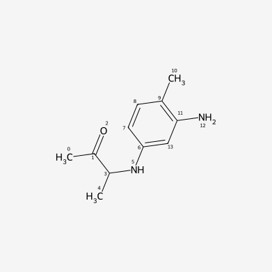 CC(=O)C(C)Nc1ccc(C)c(N)c1